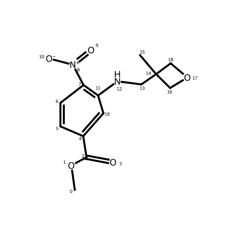 COC(=O)c1ccc([N+](=O)[O-])c(NCC2(C)COC2)c1